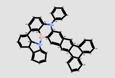 C1=CC2c3ccccc3N3B4c5cc6cc7c8ccccc8c8ccccc8c7cc6cc5N(c5ccccc5)c5cccc(c54)C(=C1)C23